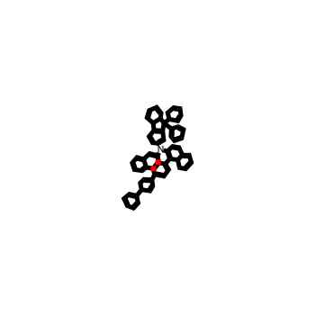 C1=CCC2C(=C1)C=CC(N(C1=Cc3ccccc3CC1)c1ccc3c(c1)C(c1ccccc1)(C1C=CC=CC1)C1C=CC=CC31)=C2c1ccc(C2=CCC(c3ccccc3)C=C2)cc1